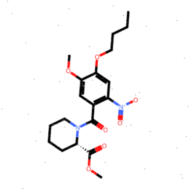 CCCCOc1cc([N+](=O)[O-])c(C(=O)N2CCCC[C@H]2C(=O)OC)cc1OC